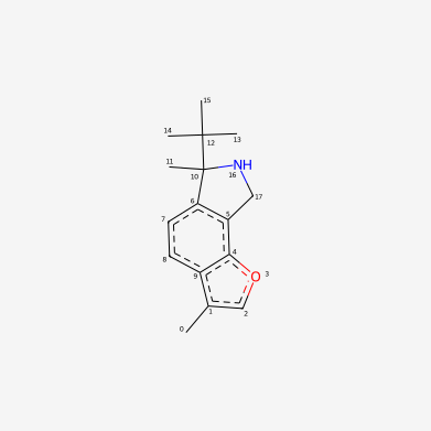 Cc1coc2c3c(ccc12)C(C)(C(C)(C)C)NC3